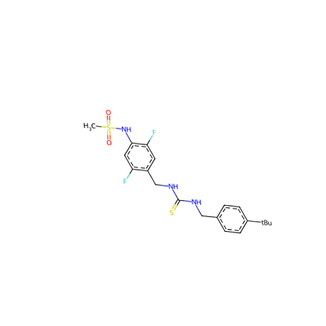 CC(C)(C)c1ccc(CNC(=S)NCc2cc(F)c(NS(C)(=O)=O)cc2F)cc1